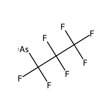 FC(F)(F)C(F)(F)C(F)(F)[As]